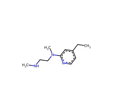 CCc1ccnc(N(C)CCNC)c1